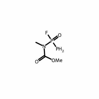 COC(=O)N(C)P(=O)(F)P